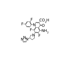 Nc1c(F)c(N2CCC(n3ccnn3)C2)c(F)c2c1c(=O)c(C(=O)O)cn2-c1ccc(F)cc1F